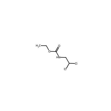 CCOC(=O)NCC(Cl)Cl